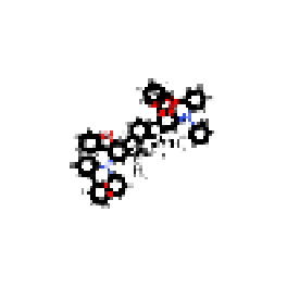 C[Si]1(C)c2cc(N(c3ccccc3)c3ccccc3-c3ccccc3)c3c(oc4ccccc43)c2-c2ccc3c(c21)[Si](C)(C)c1cc(N(c2ccccc2)c2ccccc2-c2ccccc2)c2oc4ccccc4c2c1-3